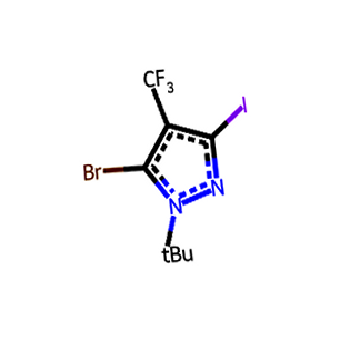 CC(C)(C)n1nc(I)c(C(F)(F)F)c1Br